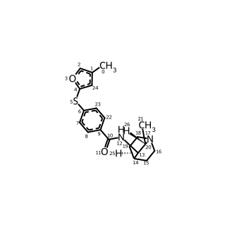 Cc1coc(Sc2ccc(C(=O)N[C@@H]3C4CCN(CC4)[C@H]3C)cc2)c1